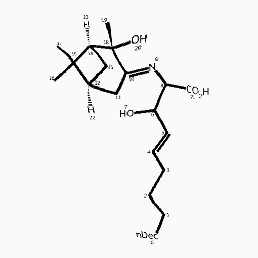 CCCCCCCCCCCCC/C=C/C(O)C(/N=C1\C[C@@H]2C[C@@H](C2(C)C)[C@]1(C)O)C(=O)O